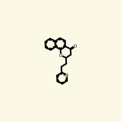 O=C1CC(CCc2ccccn2)Oc2c1ccc1ccccc21